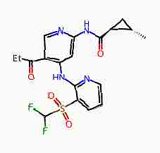 CCC(=O)c1cnc(NC(=O)[C@H]2C[C@@H]2C)cc1Nc1ncccc1S(=O)(=O)C(F)F